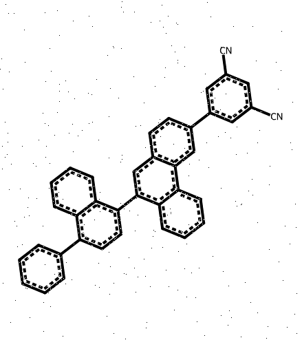 N#Cc1cc(C#N)cc(-c2ccc3cc(-c4ccc(-c5ccccc5)c5ccccc45)c4ccccc4c3c2)c1